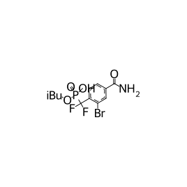 CCC(C)OP(=O)(O)C(F)(F)c1ccc(C(N)=O)cc1Br